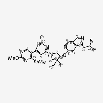 COc1ncc(-c2cc(N3CC(Oc4cc5c(cn4)cnn5CC(F)F)C(F)(F)C3)nc(C)n2)c(OC)n1